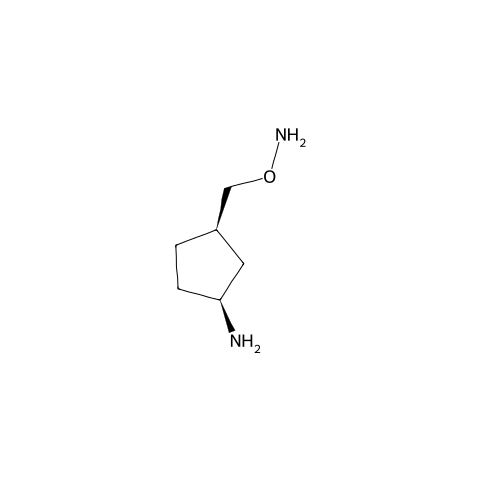 NOC[C@@H]1CC[C@H](N)C1